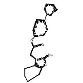 N=c1sc2c(n1CC(=O)Oc1ccc(-c3ccccc3)cc1)CCCC2